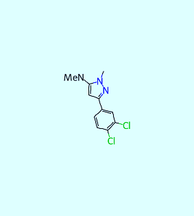 CNc1cc(-c2ccc(Cl)c(Cl)c2)nn1C